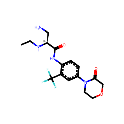 CCN[C@@H](CN)C(=O)Nc1ccc(N2CCOCC2=O)cc1C(F)(F)F